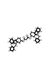 O=C(CC(=O)OC1CCc2c(n(Cc3ccccc3)c3ccccc23)C1)OC1CCc2c(n(Cc3ccccc3)c3ccccc23)C1